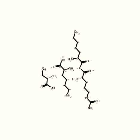 N=C(N)NCCC[C@H](N)C(=O)OC(=O)[C@@H](N)CCCCN.NCCCC[C@H](N)C(=O)O.N[C@@H](CO)C(=O)O